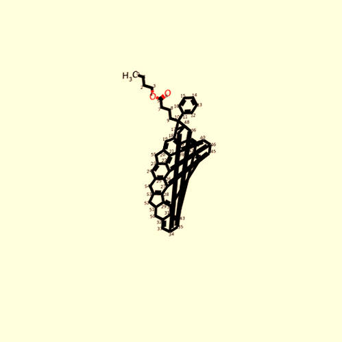 CCCCOC(=O)CCCC1(c2ccccc2)C2c3cc4c5c6c(cc7c8c9c%10c%11c%12c%13c(cc%14c%15c(c%16c3c5c3c%16c(c%15%13)c%12c9c3c68)C21C=%14)CC%11CC=%10C7)C4